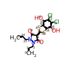 C=CCN1C(=O)C(=C2Sc3c(O)c(Cl)c(Cl)c(O)c3S2)C(=O)N1CC=C